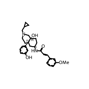 COc1cccc(C=CC(=O)N[C@@H]2CC[C@]3(O)CN(CC4CC4)CC[C@@]3(c3cccc(O)c3)C2)c1